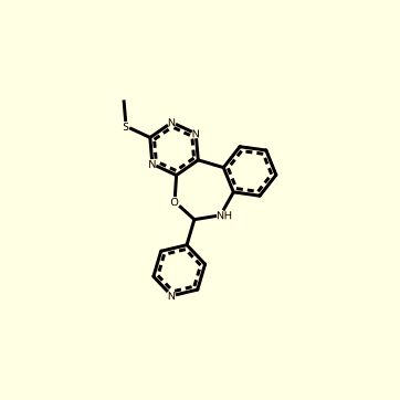 CSc1nnc2c(n1)OC(c1ccncc1)Nc1ccccc1-2